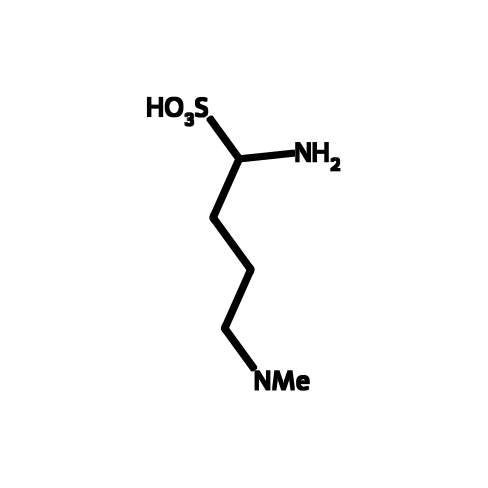 CNCCCC(N)S(=O)(=O)O